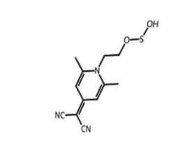 CC1=CC(=C(C#N)C#N)C=C(C)N1CCOSO